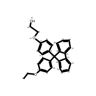 CCOc1ccc(C2(c3ccc(OCCO)cc3)c3ccccc3-c3ccccc32)cc1